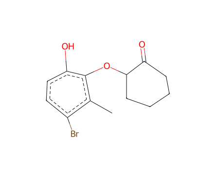 Cc1c(Br)ccc(O)c1OC1CCCCC1=O